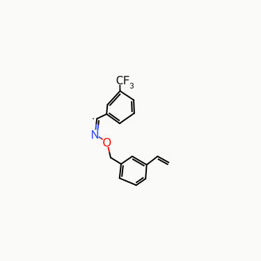 C=Cc1cccc(CO/N=[C]\c2cccc(C(F)(F)F)c2)c1